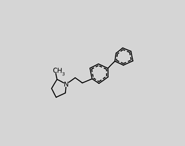 CC1CCCN1CCc1ccc(-c2ccccc2)cc1